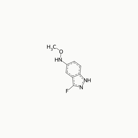 CONc1ccc2[nH]nc(F)c2c1